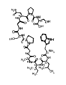 CC[C@H](C)[C@H](NC(=O)[C@H](CC(C)C)NC(=O)[C@@H](N)Cc1c[nH]c2ccccc12)C(=O)N[C@@H](C)C(=O)NCC(=O)N1CCC[C@H]1C(=O)N[C@@H](CO)C(=O)NCC(=O)N[C@@H](CC(N)=O)C(=O)N1CCC[C@H]1C(=O)N[C@@H](CO)C(=O)O